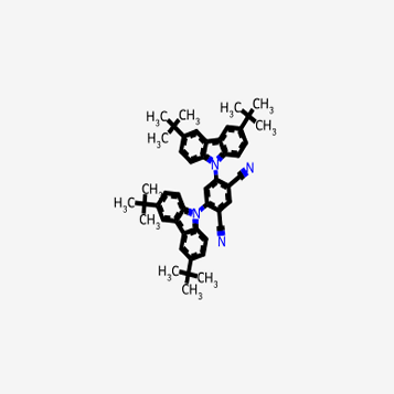 CC(C)(C)c1ccc2c(c1)c1cc(C(C)(C)C)ccc1n2-c1cc(-n2c3ccc(C(C)(C)C)cc3c3cc(C(C)(C)C)ccc32)c(C#N)cc1C#N